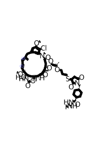 COc1cc2cc(c1Cl)N(C)C(=O)C[C@H](OC(=O)[C@H](C)OCCCSC1CC(=O)N(C[C@H]3CC[C@H](C(=O)NNI)CC3)C1=O)[C@]1(C)O[C@H]1[C@H](C)[C@@H]1C[C@@](O)(NC(=O)O1)[C@H](OC)/C=C/C=C(\C)C2